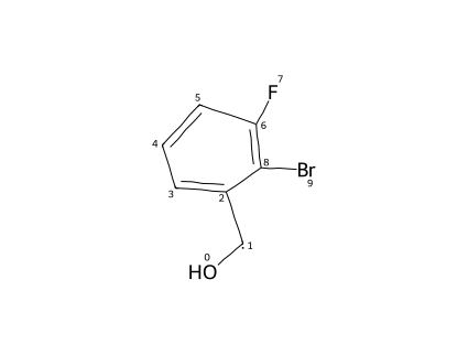 O[CH]c1cccc(F)c1Br